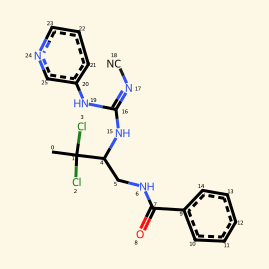 CC(Cl)(Cl)C(CNC(=O)c1ccccc1)N/C(=N/C#N)Nc1cccnc1